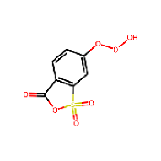 O=C1OS(=O)(=O)c2cc(OOO)ccc21